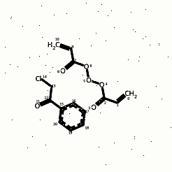 C=CC(=O)OOOC(=O)C=C.O=C(CCl)c1ccccc1